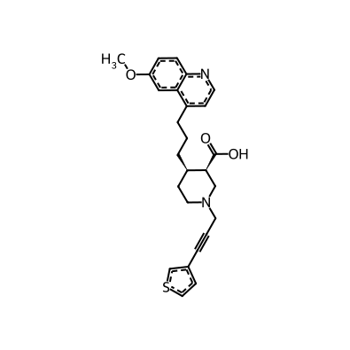 COc1ccc2nccc(CCC[C@@H]3CCN(CC#Cc4ccsc4)C[C@@H]3C(=O)O)c2c1